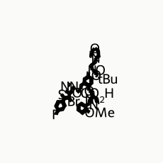 COc1ccccc1-c1nccc(COc2ccc(CN(CCN3CCOCC3)C(=O)OC(C)(C)C)cc2CC(Oc2ncnc3sc(-c4ccc(F)cc4)c(Br)c23)C(=O)O)n1